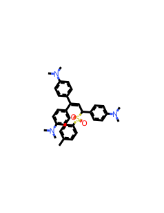 Cc1ccc(S(=O)(=O)C(C=C(c2ccc(N(C)C)cc2)c2ccc(N(C)C)cc2)c2ccc(N(C)C)cc2)cc1